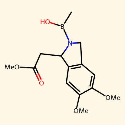 COC(=O)CC1c2cc(OC)c(OC)cc2CN1B(C)O